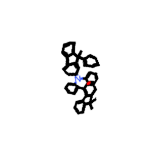 CC1(C)c2ccccc2-c2c(-c3ccccc3N(c3ccccc3)c3ccc4c(c3)C(C)(c3ccccc3)c3ccccc3-4)cccc21